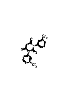 O=C1CC(=O)N(c2cccc(C(F)(F)F)c2)C(=O)N1c1cccc(C(F)(F)F)c1